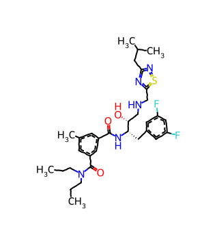 CCCN(CCC)C(=O)c1cc(C)cc(C(=O)N[C@@H](Cc2cc(F)cc(F)c2)[C@H](O)CNCc2nc(CC(C)C)ns2)c1